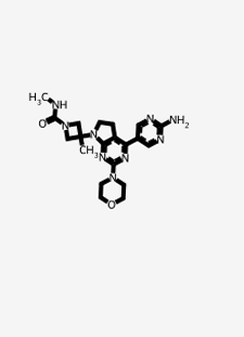 CNC(=O)N1CC(C)(N2CCc3c(-c4cnc(N)nc4)nc(N4CCOCC4)nc32)C1